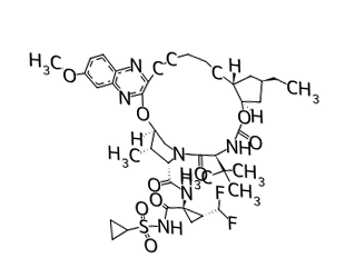 CC[C@@H]1C[C@H]2CCCCCc3nc4ccc(OC)cc4nc3O[C@H]3CN(C(=O)[C@H](C(C)(C)C)NC(=O)O[C@@H]2C1)[C@H](C(=O)N[C@]1(C(=O)NS(=O)(=O)C2CC2)C[C@H]1C(F)F)[C@@H]3C